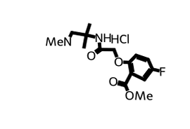 CNCC(C)(C)NC(=O)COc1ccc(F)cc1C(=O)OC.Cl